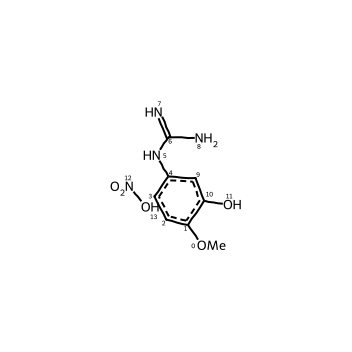 COc1ccc(NC(=N)N)cc1O.O=[N+]([O-])O